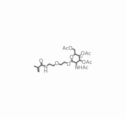 C=C(C)C(=O)NCCOCCO[C@@H]1OC(COC(C)=O)[C@@H](OC(C)=O)C(OC(C)=O)C1NC(C)=O